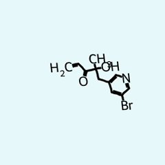 C=CC(=O)C(C)(O)Cc1cncc(Br)c1